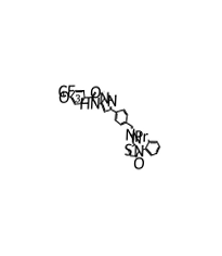 CC(C)c1ccccc1N1C(=O)CS/C1=N\N=C\c1ccc(-c2cc(NC(=O)c3ccc(OC(F)(F)F)cc3)n(C)n2)cc1